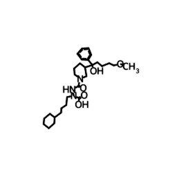 COCCCC[C@@](O)(c1ccccc1)C1CCCN(C(=O)NN(CCCCC2CCCCC2)C(=O)O)C1